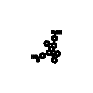 O=C(O)c1ccc(-c2cc3c4c(c2)B2c5ccccc5-c5c(-c6ccc(C(=O)O)cc6)ccc(c52)N4c2cccc4c2B3c2ccccc2-4)cc1